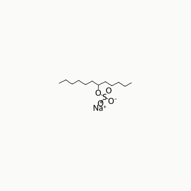 CCCCCCC(CCCCC)OS(=O)(=O)[O-].[Na+]